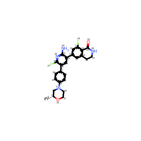 CC(C)[C@@H]1CN(c2ccc(-c3cc(-c4cc(F)c5c(c4)CCNC5=O)c(N)nc3F)cc2)CCO1